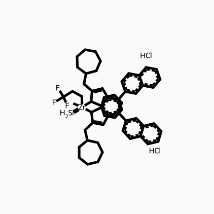 Cl.Cl.[CH3][Zr](=[SiH2])([CH2]CC(F)(F)F)([CH]1C(CC2CCCCCC2)=Cc2c(-c3ccc4ccccc4c3)cccc21)[CH]1C(CC2CCCCCC2)=Cc2c(-c3ccc4ccccc4c3)cccc21